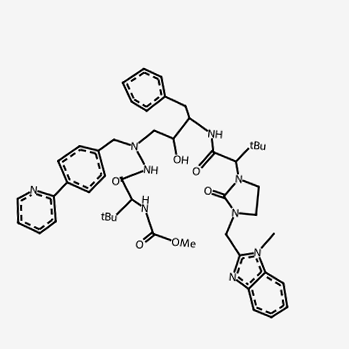 COC(=O)NC(C(=O)NN(Cc1ccc(-c2ccccn2)cc1)CC(O)C(Cc1ccccc1)NC(=O)C(N1CCN(Cc2nc3ccccc3n2C)C1=O)C(C)(C)C)C(C)(C)C